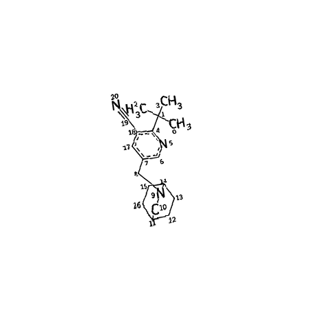 CC(C)(C)c1ncc(CN2CC3CCC2CC3)cc1C#N